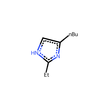 CCCCc1c[nH]c(CC)n1